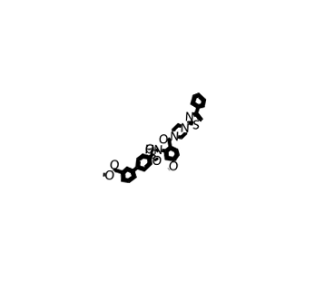 COC(=O)c1cccc(-c2ccc(S(=O)(=O)Nc3cc(OC)ccc3C(=O)N3CCN(c4nc(-c5ccccc5)cs4)CC3)cc2)c1